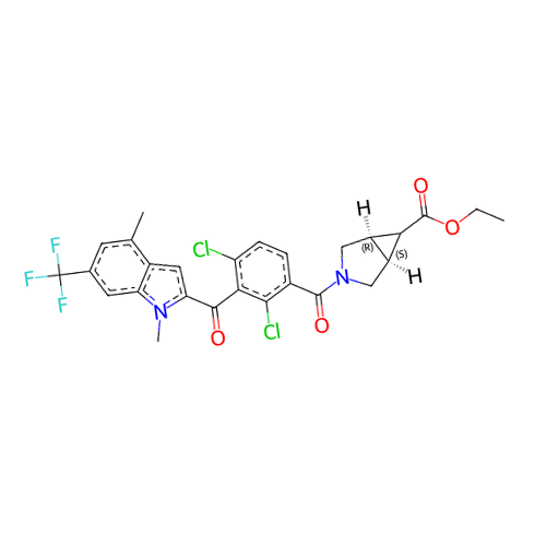 CCOC(=O)C1[C@H]2CN(C(=O)c3ccc(Cl)c(C(=O)c4cc5c(C)cc(C(F)(F)F)cc5n4C)c3Cl)C[C@@H]12